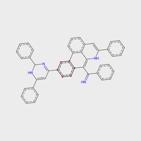 N=C(/C(=C1\NC(c2ccccc2)=Cc2cccc(-c3cccc(C4=NC(c5ccccc5)NC(c5ccccc5)=C4)c3)c21)c1ccccc1)c1ccccc1